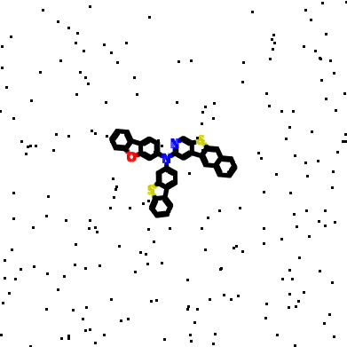 c1ccc2cc3c(cc2c1)sc1cnc(N(c2ccc4c(c2)oc2ccccc24)c2ccc4c(c2)sc2ccccc24)cc13